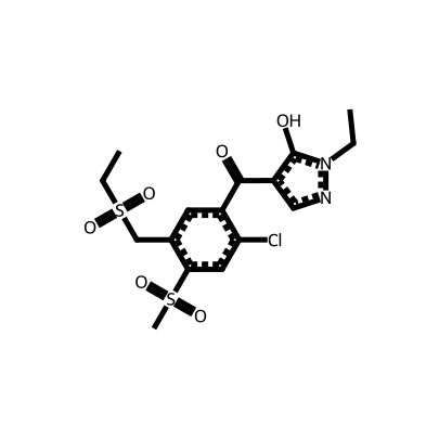 CCn1ncc(C(=O)c2cc(CS(=O)(=O)CC)c(S(C)(=O)=O)cc2Cl)c1O